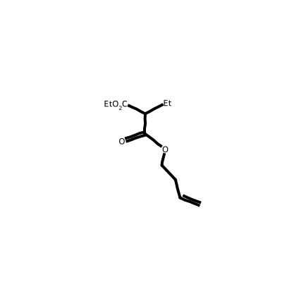 C=CCCOC(=O)C(CC)C(=O)OCC